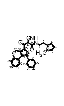 Cn1cccc1CCNC(=O)C(C#N)C(=O)c1nn(-c2ccccc2)c2c1CSc1ccccc1-2